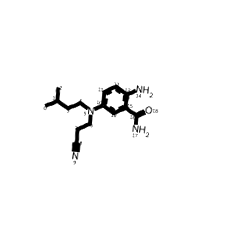 CC(C)CCN(CCC#N)c1ccc(N)c(C(N)=O)c1